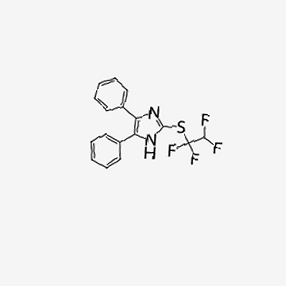 FC(F)C(F)(F)Sc1nc(-c2ccccc2)c(-c2ccccc2)[nH]1